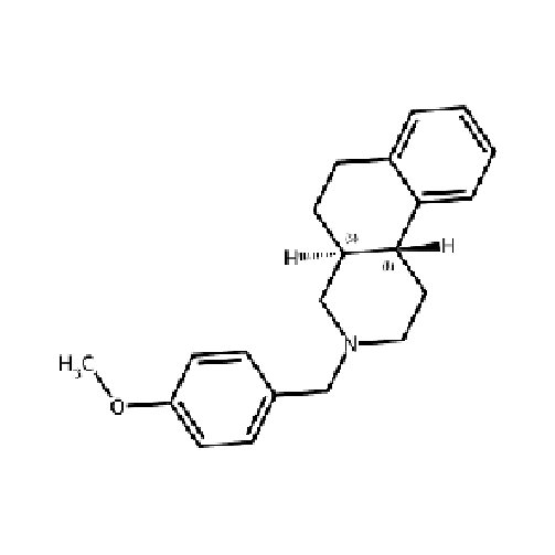 COc1ccc(CN2CC[C@H]3c4ccccc4CC[C@@H]3C2)cc1